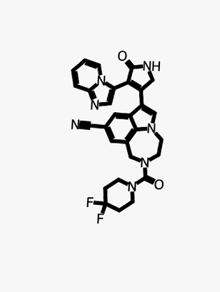 N#Cc1cc2c3c(c1)c(C1=C(c4cnc5ccccn45)C(=O)NC1)cn3CCN(C(=O)N1CCC(F)(F)CC1)C2